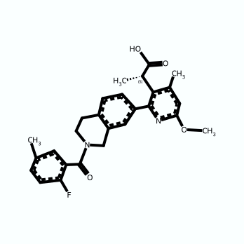 COc1cc(C)c([C@H](C)C(=O)O)c(-c2ccc3c(c2)CN(C(=O)c2cc(C)ccc2F)CC3)n1